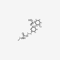 CCNC(=O)OCCc1ccc(-c2c(C)cccc2C(=O)O)cc1